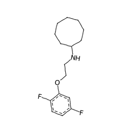 Fc1ccc(F)c(OCCNC2CCCCCCC2)c1